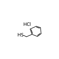 Cl.SCc1ccccc1